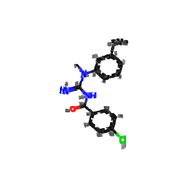 CSc1cccc(N(C)C(=N)NC(=O)c2ccc(Cl)cc2)c1